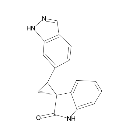 O=C1Nc2ccccc2[C@@]12CC2c1ccc2cn[nH]c2c1